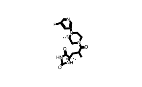 CC(C[C@@]1(C)NC(=O)NC1=O)C(=O)N1CCN(c2cncc(F)c2)[C@@H](C)C1